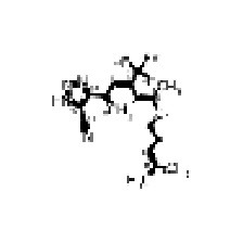 C=C(/C=C(\C=C(/C)OCCC=C(C)C)C(F)(F)F)c1nn[nH]c1C#N